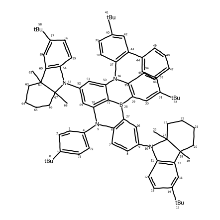 CC(C)(C)c1ccc(N2c3ccc(N4c5ccc(C(C)(C)C)cc5C5(C)CCCCC45C)cc3B3c4cc(C(C)(C)C)ccc4N(c4ccc(C(C)(C)C)cc4-c4ccccc4)c4cc(N5c6ccc(C(C)(C)C)cc6C6(C)CCCCC56C)cc2c43)cc1